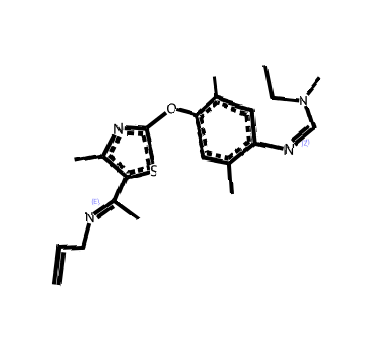 C=CC/N=C(\C)c1sc(Oc2cc(C)c(/N=C\N(C)CC)cc2C)nc1C